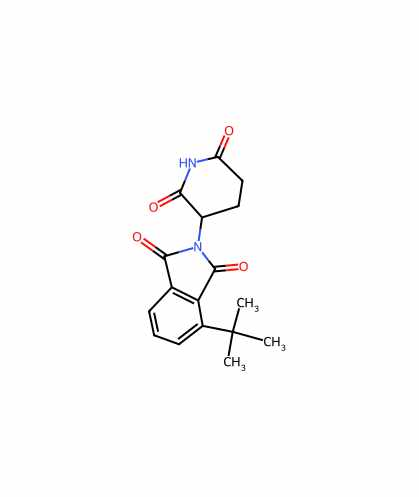 CC(C)(C)c1cccc2c1C(=O)N(C1CCC(=O)NC1=O)C2=O